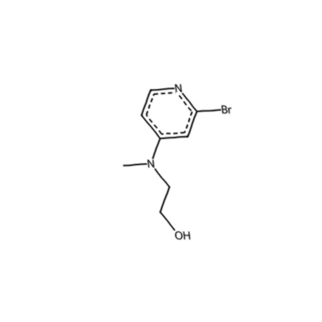 CN(CCO)c1ccnc(Br)c1